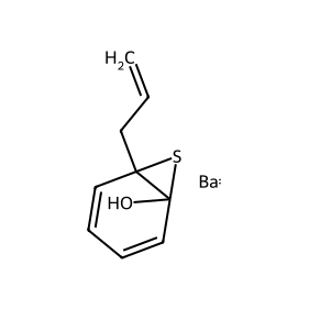 C=CCC12C=CC=CC1(O)S2.[Ba]